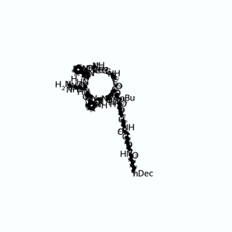 CCCCCCCCCCCCCCCC(=O)NCCOCCOCC(=O)NCCOCCOCC(=O)N[C@@H](CCCC)C(=O)N[C@H]1CCC(=O)CCCNCCCC[C@@H](C(N)=O)NC(=O)[C@H](Cc2c[nH]c3ccccc23)NC(=O)[C@H](CCCNC(=N)N)NC(=O)[C@@H](Cc2ccccc2)NC(=O)[C@H](CN)NC1=O